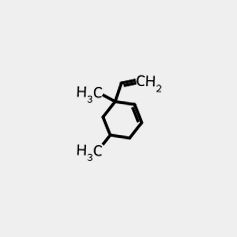 C=CC1(C)C=CCC(C)C1